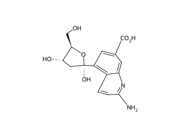 Nc1ccc2c([C@@]3(O)C[C@H](O)[C@@H](CO)O3)cc(C(=O)O)cc2n1